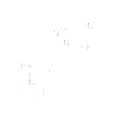 O=C(O)C1(CN[C@H]2COc3cc(-c4noc(-c5onc(-c6ccccc6)c5C(F)(F)F)n4)ccc3[C@@H]2O)CCCC1